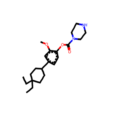 CCC1(CC)CCC(c2ccc(OC(=O)N3CCNCC3)c(OC)c2)CC1